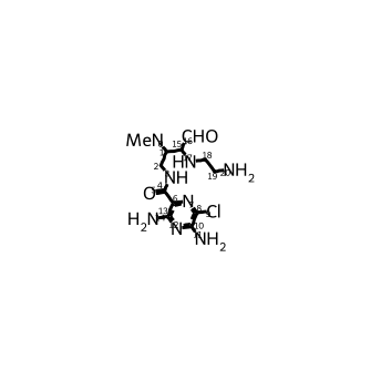 CNC(CNC(=O)c1nc(Cl)c(N)nc1N)C(C=O)NCCN